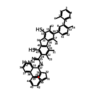 Cc1ccccc1-c1cc(-c2c(C)c(S)c3c(c2C)-c2c(C)c(C)c(C(/N=C(/C4=CC=CC4)c4ccccc4-c4ccccc4)=N/N)c(S)c2C3)ccc1C